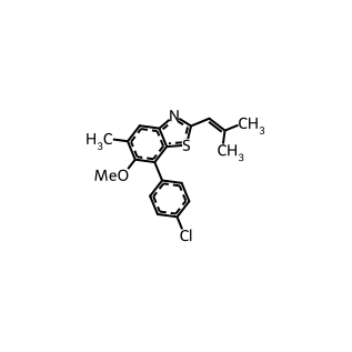 COc1c(C)cc2nc(C=C(C)C)sc2c1-c1ccc(Cl)cc1